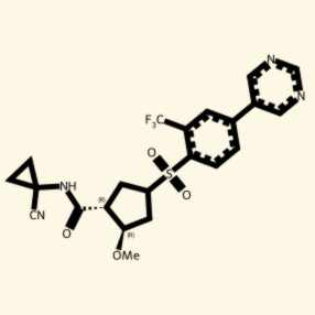 CO[C@@H]1CC(S(=O)(=O)c2ccc(-c3cncnc3)cc2C(F)(F)F)C[C@H]1C(=O)NC1(C#N)CC1